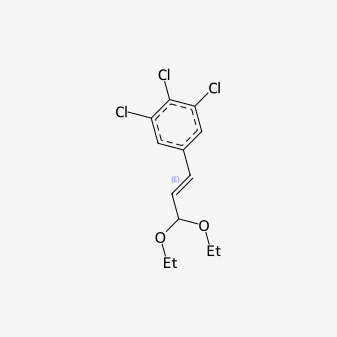 CCOC(/C=C/c1cc(Cl)c(Cl)c(Cl)c1)OCC